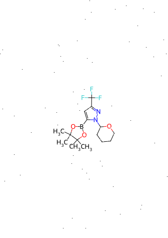 CC1(C)OB(c2cc(C(F)(F)F)nn2C2CCCCO2)OC1(C)C